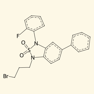 O=S1(=O)N(CCCBr)c2ccc(-c3ccccc3)cc2N1c1ccccc1F